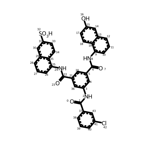 O=C(Nc1cc(C(=O)Nc2cccc3cc(O)ccc23)cc(C(=O)Nc2cccc3cc(S(=O)(=O)O)ccc23)c1)c1cccc(Cl)c1